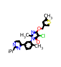 Cc1cc(COc2nc(C)n(-c3cc(-c4ccnc(C(C)C)n4)ccc3C)c(=O)c2Cl)cs1